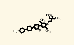 CCc1cc(-c2ccc(C3CCC(C4CCC(C)CC4)CC3)cc2F)c(CC)cc1OCCC(CC)(CC)CC